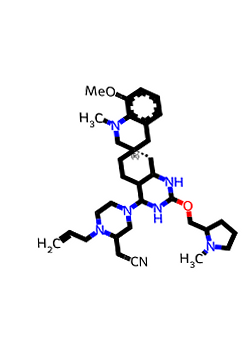 C=CCN1CCN(C2NC(OCC3CCCN3C)NC3C[C@@]4(CCC32)Cc2cccc(OC)c2N(C)C4)CC1CC#N